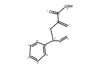 C=CN(CC(=C)C(=O)OC)c1ccccc1